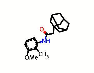 COc1cccc(NC(=O)CC23CC4CC(CC(C4)C2)C3)c1C